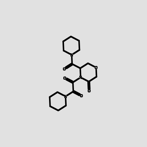 O=C(C(=O)N1C(=O)COCC1C(=O)N1CCCCC1)N1CCCCC1